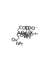 CC(=O)CC(=O)[O-].CCCC(=O)CC(=O)[O-].CCCC(=O)CC(=O)[O-].CCCC[O-].[Zr+4]